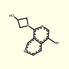 CC(C)c1cnc(N2CC(O)C2)c2cnccc12